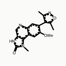 COc1cc2c(cc1-c1c(C)noc1C)ncc1[nH]c(=O)n(C)c12